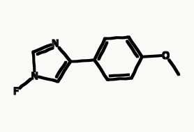 COc1ccc(-c2cn(F)cn2)cc1